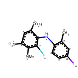 CNc1c([N+](=O)[O-])cc(C(=O)O)c(Nc2ccc(I)cc2C)c1F